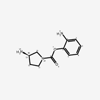 Nc1ccccc1OC(=O)N1CC[C@@H](N)C1